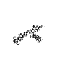 CCCc1ccc(-c2ccc(CCc3ccc(-c4ccc5cc(N6C(=O)C=CC6=O)ccc5c4)cc3)c(/C=N/Nc3nc4ccccc4o3)c2)c(F)c1